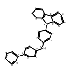 C1=Cc2c(n(-c3ccc(Nc4ccc(-c5ccccc5)cc4)cc3)c3ccccc23)CC1